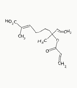 C=CC(=O)OC(C)(C=C)CCC=C(C)C(=O)O